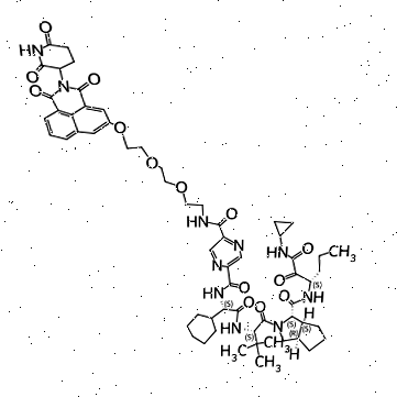 CCC[C@H](NC(=O)[C@@H]1[C@H]2CCC[C@H]2CN1C(=O)[C@@H](NC(=O)[C@@H](NC(=O)c1cnc(C(=O)NCCOCCOCCOc2cc3c4c(cccc4c2)C(=O)N(C2CCC(=O)NC2=O)C3=O)cn1)C1CCCCC1)C(C)(C)C)C(=O)C(=O)NC1CC1